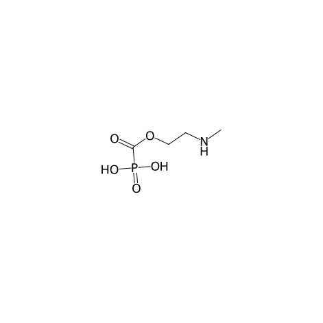 CNCCOC(=O)P(=O)(O)O